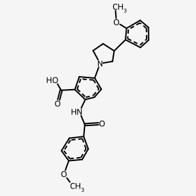 COc1ccc(C(=O)Nc2ccc(N3CCC(c4ccccc4OC)C3)cc2C(=O)O)cc1